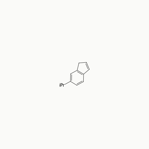 CC(C)c1ccc2c(c1)CC=C2